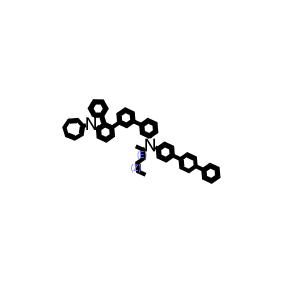 C/C=C\C=C(/C)N(c1ccc(C2=CCC(c3ccccc3)C=C2)cc1)c1cccc(-c2cccc(-c3cccc4c3c3ccccc3n4C3=CC=CCC=C3)c2)c1